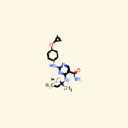 CCC(C)(C)Nc1nc(N[C@H]2CC[C@H](OC3CC3)CC2)ncc1C(N)=O